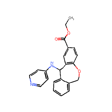 CCOC(=O)c1ccc2c(c1)C(Nc1ccncc1)c1ccccc1CO2